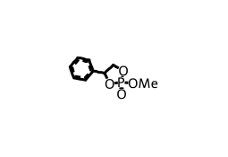 COP1(=O)OCC(c2ccccc2)O1